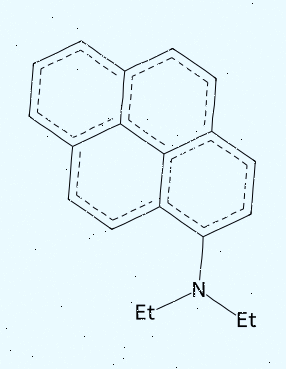 CCN(CC)c1ccc2ccc3cccc4ccc1c2c34